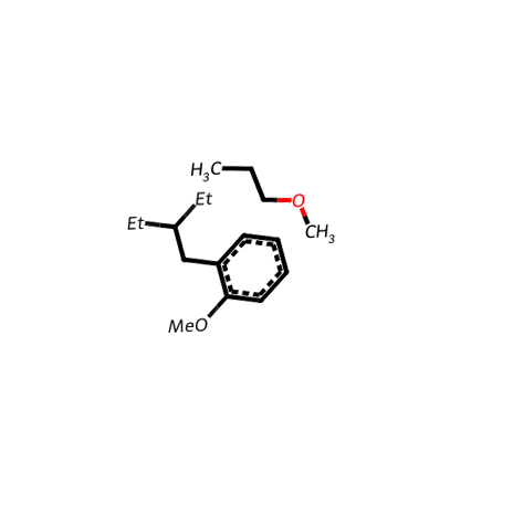 CCC(CC)Cc1ccccc1OC.CCCOC